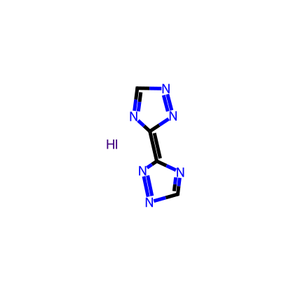 C1=NC(=C2N=CN=N2)N=N1.I